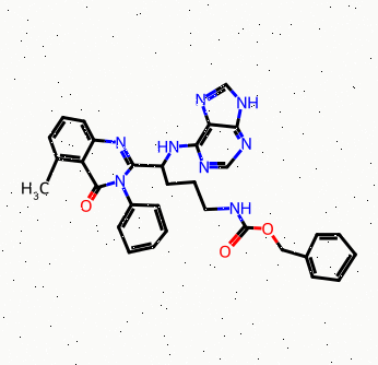 Cc1cccc2nc(C(CCCNC(=O)OCc3ccccc3)Nc3ncnc4[nH]cnc34)n(-c3ccccc3)c(=O)c12